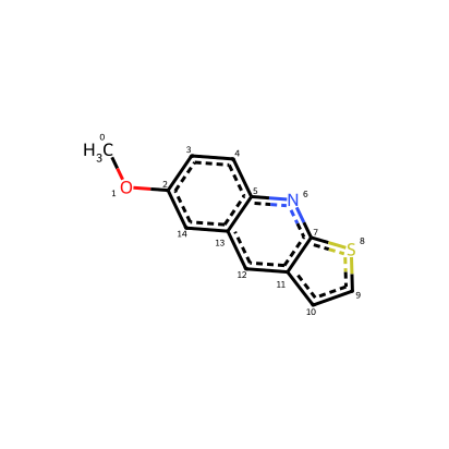 COc1ccc2nc3sccc3cc2c1